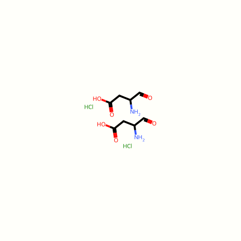 Cl.Cl.NC(C=O)CC(=O)O.NC(C=O)CC(=O)O